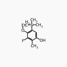 CCOc1c([Si](C)(C)C)cc(O)c(C)c1F